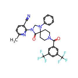 Cc1ccc(C#N)c(N2CN(c3ccccc3)C3(CCN(C(=O)c4cc(C(F)(F)F)cc(C(F)(F)F)c4)CC3)C2=O)n1